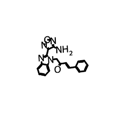 Nc1nonc1-c1nc2ccccc2n1CC(=O)/C=C/c1ccccc1